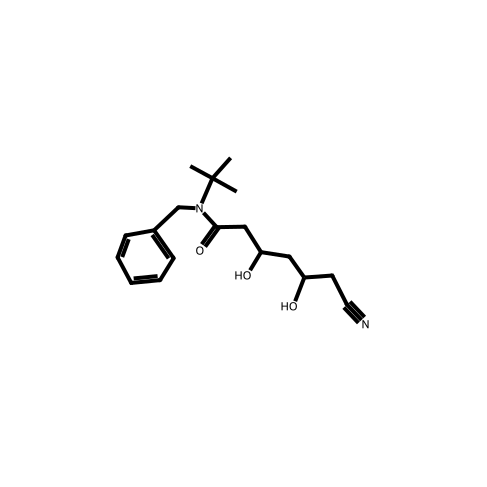 CC(C)(C)N(Cc1ccccc1)C(=O)CC(O)CC(O)CC#N